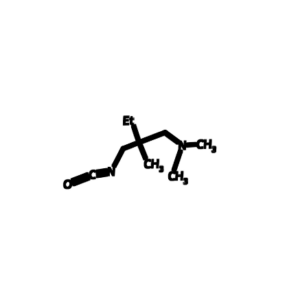 CCC(C)(CN=C=O)CN(C)C